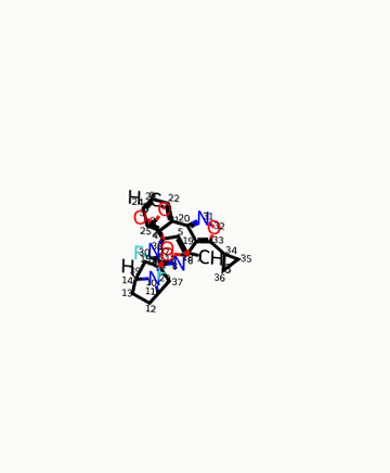 COC(=O)c1cc(C)nc(N2C3CC[C@H]2CC(OCc2c(-c4ccccc4OC(F)F)noc2C2CC2)C3)n1